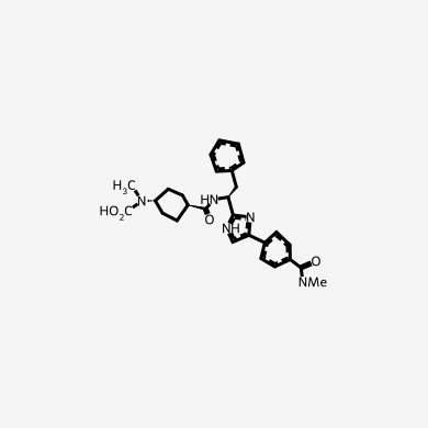 CNC(=O)c1ccc(-c2c[nH]c([C@H](Cc3ccccc3)NC(=O)[C@H]3CC[C@H](N(C)C(=O)O)CC3)n2)cc1